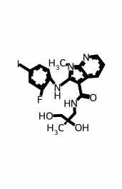 Cn1c(Nc2ccc(I)cc2F)c(C(=O)NC[C@](C)(O)CO)c2cccnc21